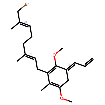 C=C/C=C1\CC(OC)=C(C)C(C/C=C(\C)CC/C=C(\C)CBr)=C1OC